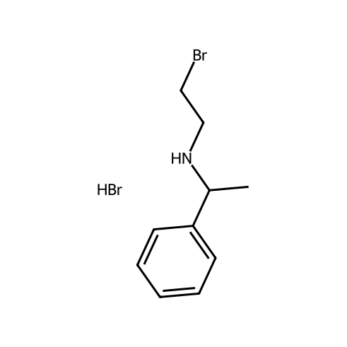 Br.CC(NCCBr)c1ccccc1